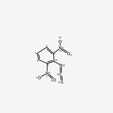 O=[N+]([O-])c1cccc([N+](=O)[O-])c1N=C=S